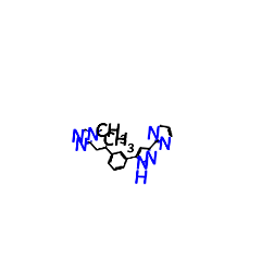 C[C@H](Cc1nncn1C)c1cccc(-c2cc(-c3ncccn3)n[nH]2)c1